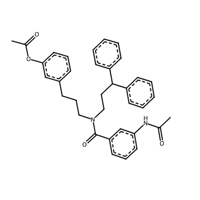 CC(=O)Nc1cccc(C(=O)N(CCCc2cccc(OC(C)=O)c2)CCC(c2ccccc2)c2ccccc2)c1